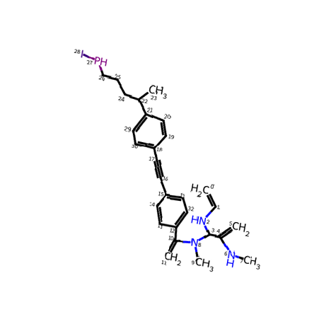 C=CNC(C(=C)NC)N(C)C(=C)c1ccc(C#Cc2ccc(C(C)CCCPI)cc2)cc1